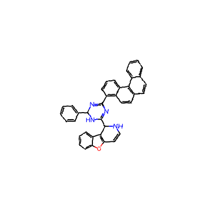 C1=Cc2oc3ccccc3c2C(C2=NC(c3cccc4c3ccc3ccc5ccccc5c34)=NC(c3ccccc3)N2)N1